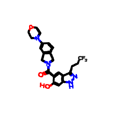 O=C(c1cc2c(CCC(F)(F)F)n[nH]c2cc1O)N1Cc2ccc(N3CCOCC3)cc2C1